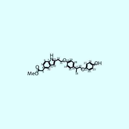 COC(=O)Cc1ccc2[nH]c(CCOc3ccc(C(C)COc4ccc(O)cc4)cc3)cc2c1